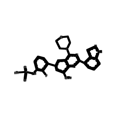 CCCS(=O)(=O)Nc1cccc(-c2cc(OC)c3nc(-c4cccc5[nH]ncc45)nc(N4CCOCC4)c3c2)c1F